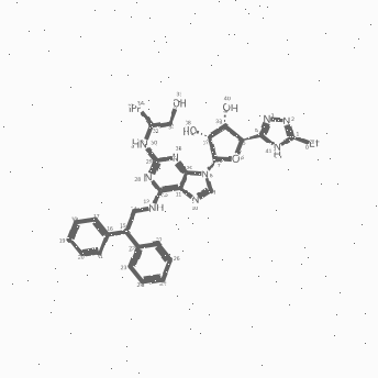 CCc1nnc([C@H]2O[C@@H](n3cnc4c(NCC(c5ccccc5)c5ccccc5)nc(NC(CO)C(C)C)nc43)[C@H](O)[C@@H]2O)[nH]1